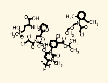 CC(C)OC(=O)c1cc(-n2c(=O)cc(C(F)(F)F)n(C)c2=O)ccc1Cl.CC1(C)OC(c2ccco2)CN1C(=O)C(Cl)Cl.CCOCN(C(=O)CCl)c1c(C)cccc1CC.CP(=O)(O)CCC(N)C(=O)O